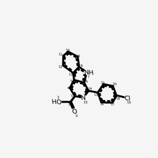 O=C(O)c1cc2c([nH]c3ccccc32)c(-c2ccc(Cl)cc2)n1